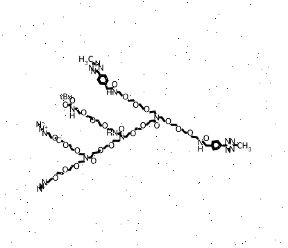 Cc1nnc(-c2ccc(CC(=O)NCCOCCOCCOCCN(CCOCCOCCOCCNC(=O)Cc3ccc(-c4nnc(C)nn4)cc3)C(=O)CCOCCOCCN(CCOCCOCCC(=O)N(CCOCCOCCOCCN=[N+]=[N-])CCOCCOCCOCCN=[N+]=[N-])C(=O)NCCOCCOCCOCCNC(=O)OC(C)(C)C)cc2)nn1